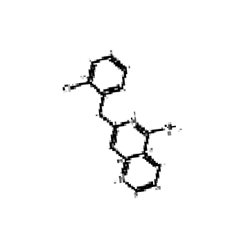 Nc1nc(Cc2ccccc2Cl)cc2ncccc12